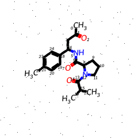 CC(=O)CC(NC(=O)C1CCCN1C(=O)C(C)C)c1ccc(C)cc1